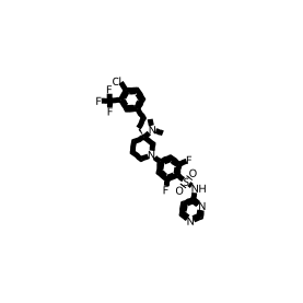 CN(C)[C@]1(CCc2ccc(Cl)c(C(F)(F)F)c2)CCCN(c2cc(F)c(S(=O)(=O)Nc3ccncn3)c(F)c2)C1